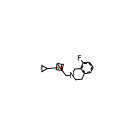 Fc1cccc2c1CN(CC13CC(C1)N(C1CC1)C3)CC2